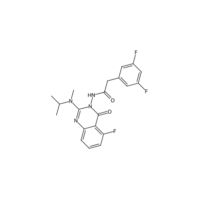 CC(C)N(C)c1nc2cccc(F)c2c(=O)n1NC(=O)Cc1cc(F)cc(F)c1